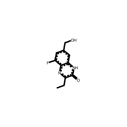 CCc1nc2c(F)cc(CO)cc2[nH]c1=O